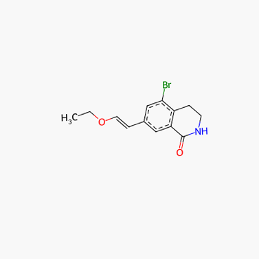 CCO/C=C/c1cc(Br)c2c(c1)C(=O)NCC2